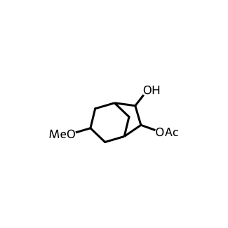 COC1CC2CC(C1)C(OC(C)=O)C2O